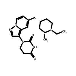 C[C@H]1C[C@H](Cc2ccn3ncc(N4CCC(=O)NC4=O)c3c2)CCN1CC(F)(F)F